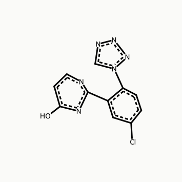 Oc1ccnc(-c2cc(Cl)ccc2-n2cnnn2)n1